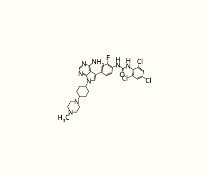 CN1CCN(C2CCC(n3cc(-c4ccc(NC(=O)Nc5c(Cl)cc(Cl)cc5Cl)c(F)c4)c4c(N)ncnc43)CC2)CC1